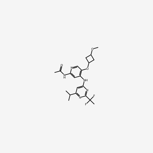 COC1CC(Oc2cnc(NC(C)=O)cc2Nc2cc(C(C)C)nc(C(C)(F)F)n2)C1